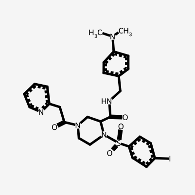 CN(C)c1ccc(CNC(=O)C2CN(C(=O)Cc3ccccn3)CCN2S(=O)(=O)c2ccc(I)cc2)cc1